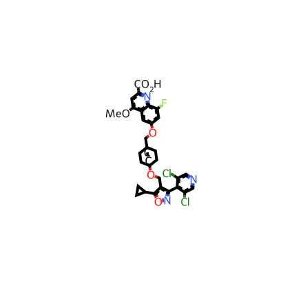 COc1cc(C(=O)O)nc2c(F)cc(OCC34CCC(OCc5c(-c6c(Cl)cncc6Cl)noc5C5CC5)(CC3)CC4)cc12